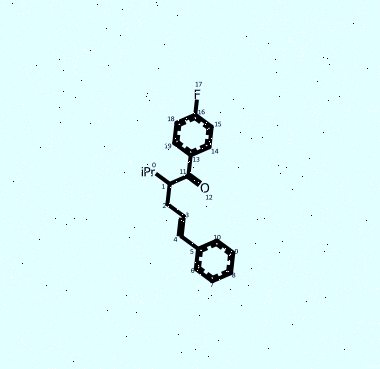 CC(C)[C](C/C=C/c1ccccc1)C(=O)c1ccc(F)cc1